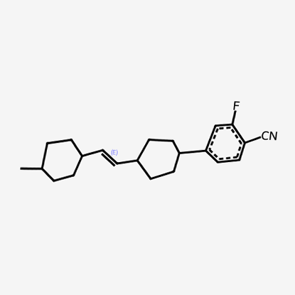 CC1CCC(/C=C/C2CCC(c3ccc(C#N)c(F)c3)CC2)CC1